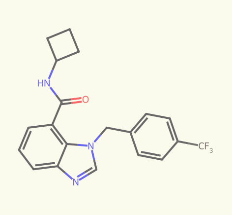 O=C(NC1CCC1)c1cccc2ncn(Cc3ccc(C(F)(F)F)cc3)c12